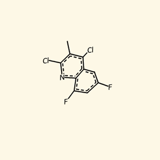 Cc1c(Cl)nc2c(F)cc(F)cc2c1Cl